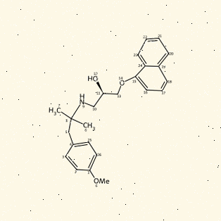 COc1ccc(CC(C)(C)NC[C@@H](O)COc2cccc3ccccc23)cc1